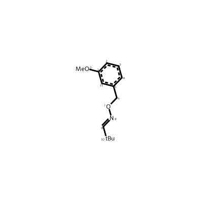 COc1cccc(CO/N=C/C(C)(C)C)c1